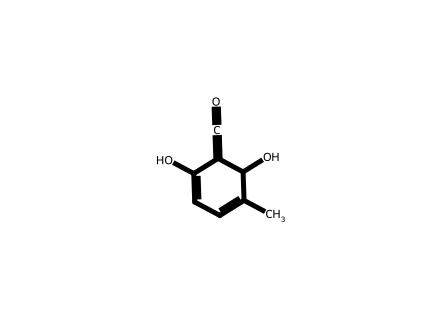 CC1=CC=C(O)C(=C=O)C1O